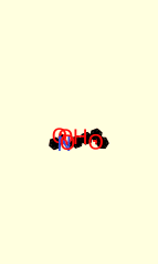 O=C(O)C(=NOCc1ccc(-c2ccc(-c3cccc4c3oc3ccccc34)cc2)cc1)c1ccccc1